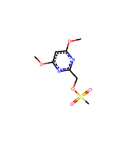 COc1cc(OC)nc(COS(C)(=O)=O)n1